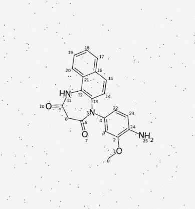 COc1cc(N2C(=O)CC(=O)Nc3c2ccc2ccccc32)ccc1N